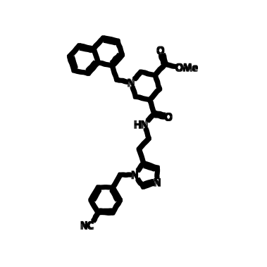 COC(=O)C1CC(C(=O)NCCc2cncn2Cc2ccc(C#N)cc2)CN(Cc2cccc3ccccc23)C1